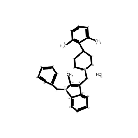 Cc1cccc(C)c1C1CCN(Cc2c(C)n(Cc3ccccc3)c3ccccc23)CC1.Cl